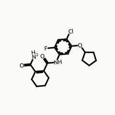 NC(=O)C1=C(C(=O)Nc2cc(OC3CCCC3)c(Cl)cc2F)CCCC1